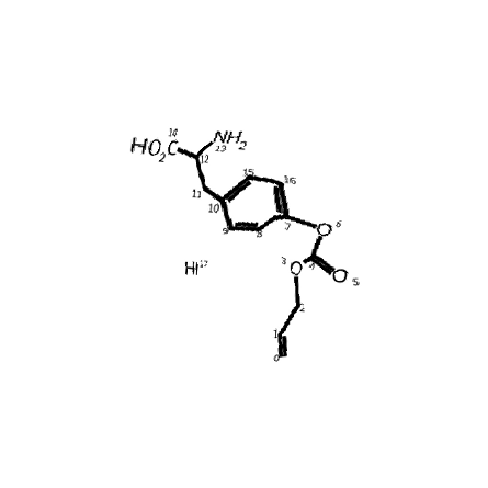 C=CCOC(=O)Oc1ccc(CC(N)C(=O)O)cc1.I